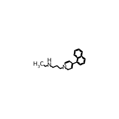 CCNCCCN1C=CC(c2cccc3ccccc23)=CC1